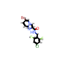 O=C(NCc1c(F)cc(Cl)cc1F)c1cn2cc(Br)ccc2n1